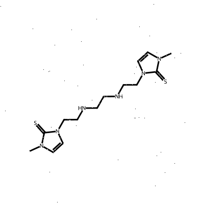 Cn1ccn(CCNCCNCCn2ccn(C)c2=S)c1=S